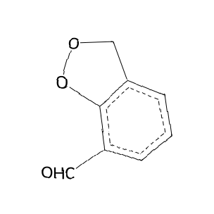 O=Cc1cccc2c1OOC2